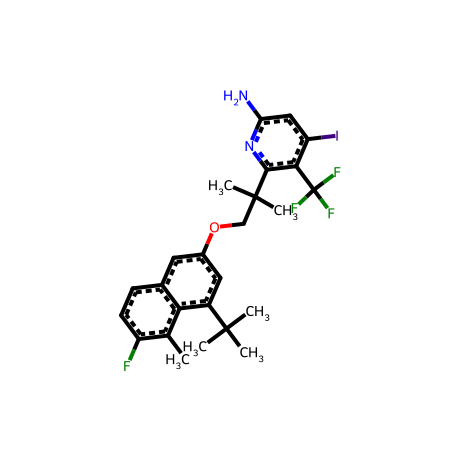 Cc1c(F)ccc2cc(OCC(C)(C)c3nc(N)cc(I)c3C(F)(F)F)cc(C(C)(C)C)c12